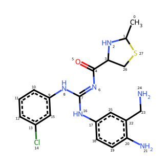 CC1NC(C(=O)/N=C(\Nc2cccc(Cl)c2)Nc2ccc(N)c(CN)c2)CS1